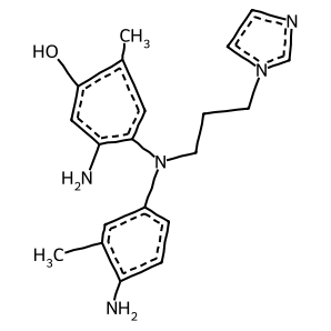 Cc1cc(N(CCCn2ccnc2)c2cc(C)c(O)cc2N)ccc1N